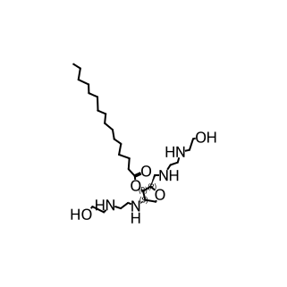 CCCCCCCCCCCCCCCC(=O)O[C@@H]1[C@@H](NCCNCCO)CO[C@@H]1CNCCNCCO